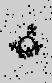 C[C@@H]1CC(OC(=O)C(F)(F)F)CCC[C@](O)(C(F)(F)F)c2nnc(o2)-c2nc(c(C(F)(F)F)cc2N)O1